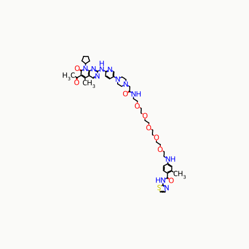 CC(=O)c1c(C)c2cnc(Nc3ccc(N4CCN(CC(=O)NCCOCCOCCOCCOCCOCCNc5ccc(C(=O)Nc6nccs6)c(C)c5)CC4)cn3)nc2n(C2CCCC2)c1=O